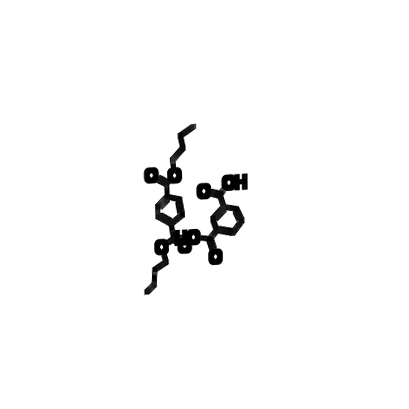 CCCCOC(=O)c1ccc(C(=O)OCCCC)cc1.O=C(O)c1cccc(C(=O)O)c1